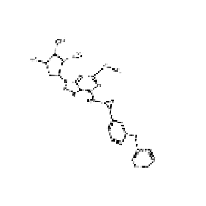 CCCSc1nc(NC2CC2c2cccc(Oc3ccccc3)c2)c2nnn([C@H]3C[C@@H](O)[C@H](O)[C@@H]3O)c2n1